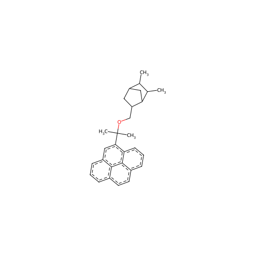 CC1C2CC(COC(C)(C)c3cc4cccc5ccc6cccc3c6c54)C(C2)C1C